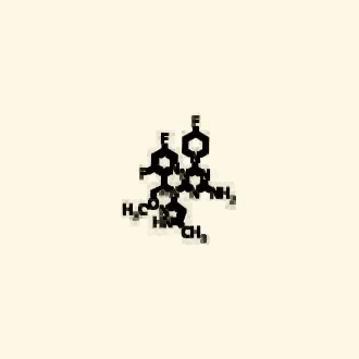 COC[C@@H](c1ncc(F)cc1F)N(c1cc(C)[nH]n1)c1nc(N)nc(N2CCC(F)CC2)n1